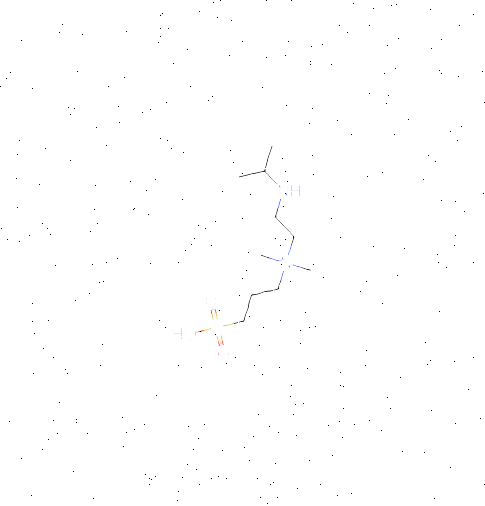 CC(C)NCC[N+](C)(C)CCCS(=O)(=O)O